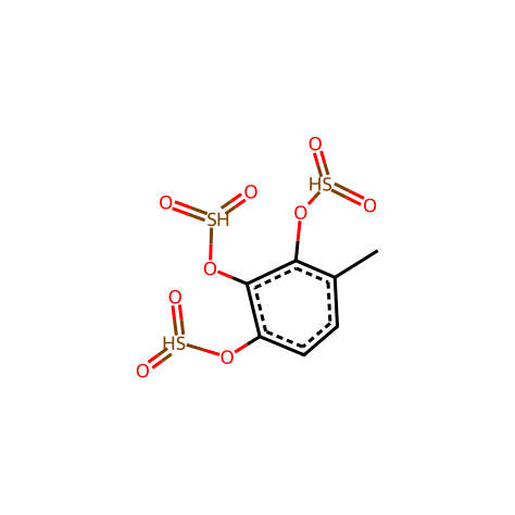 Cc1ccc(O[SH](=O)=O)c(O[SH](=O)=O)c1O[SH](=O)=O